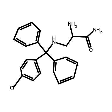 NC(=O)C(N)CNC(c1ccccc1)(c1ccccc1)c1ccc(Cl)cc1